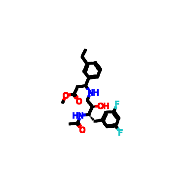 CCc1cccc(C(CC(=O)OC)NC[C@@H](O)[C@H](Cc2cc(F)cc(F)c2)NC(C)=O)c1